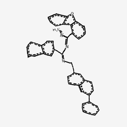 C=N/C(=N\C(=N/Cc1ccc2cc(-c3ccccc3)ccc2c1)c1ccc2ccccc2c1)c1cccc2oc3ccccc3c12